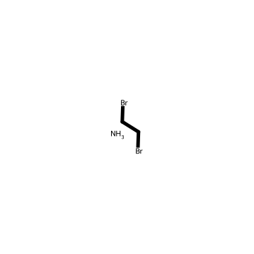 BrCCBr.N